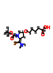 CN(C)C(=S)[C@@H]1C[C@@H](OCCCCC(=O)O)CN1C(=O)OC(C)(C)C